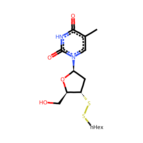 CCCCCCSS[C@H]1C[C@H](n2cc(C)c(=O)[nH]c2=O)O[C@@H]1CO